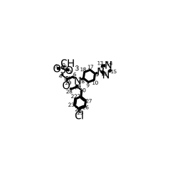 CS(=O)(=O)C[C@H]1CN(C2CCC(n3cncn3)CC2)[C@@H](Cc2ccc(Cl)cc2)CO1